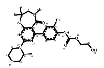 CCN1CC(C)(C)Oc2nc(N3CCOC[C@@H]3C)nc(-c3ccc(NC(=O)OCCO)c(F)c3)c2C1=O